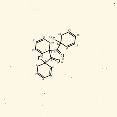 O=C(C1(F)C=CC=CC1)C1(C(=O)C2(F)C=CC=CC2)C=CC=CC1